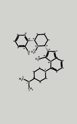 CN(C)C1CCN(c2cccc3nc([C@H]4CCC[C@@H](c5ncccc5Cl)N4C)c(N)n23)CC1